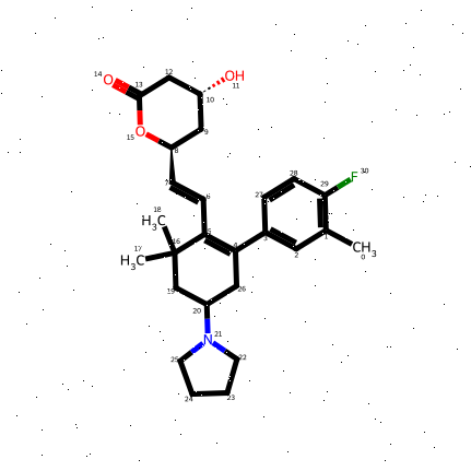 Cc1cc(C2=C(/C=C/[C@@H]3C[C@@H](O)CC(=O)O3)C(C)(C)CC(N3CCCC3)C2)ccc1F